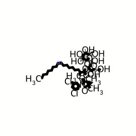 CC12CC1(C)C(=O)N(c1cc(Cl)cc(Cl)c1)C2=O.CCCCCCCC/C=C\CCCCCCC(C)C(=O)O[C@H]1[C@H](O)[C@@H](CO)O[C@@]1(CO)O[C@H]1O[C@H](CO)[C@@H](O)[C@H](O)[C@H]1O